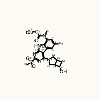 CN(C(=O)OC(C)(C)C)c1cc(F)cc2c1[nH]c1nc(S(C)(=O)=O)nc(N3CC4C[C@@H](O)C4C3)c12